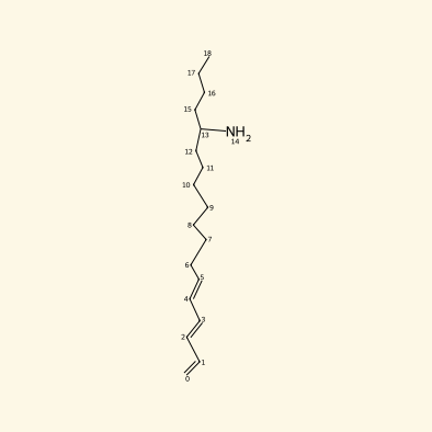 C=C/C=C/C=C/CCCCCCCC(N)CCCC